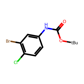 CC(C)(C)OC(=O)Nc1ccc(Cl)c(Br)c1